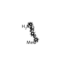 COc1cc(COc2ccc(Cc3cc(-c4cccnc4N)on3)cn2)ccn1